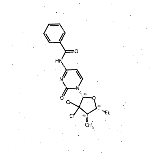 CC[C@H]1O[C@@H](n2ccc(NC(=O)c3ccccc3)nc2=O)C(Cl)(Cl)[C@@H]1C